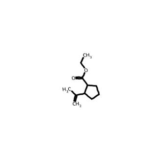 C=C(C)C1CCCC1C(=O)OCC